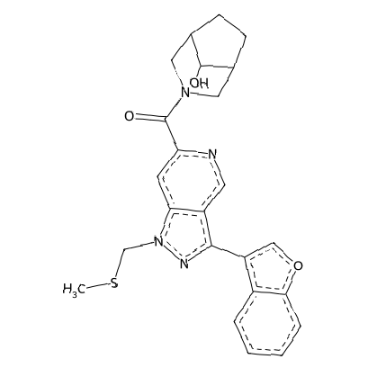 CSCn1nc(-c2coc3ccccc23)c2cnc(C(=O)N3CC4CCC(C3)C4O)cc21